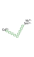 [Cl-].[Cl-].[Cl-].[Cl-].[Cl-].[Cl-].[Cl-].[Cl-].[Cl-].[Gd+3].[Sm+3].[Yb+3]